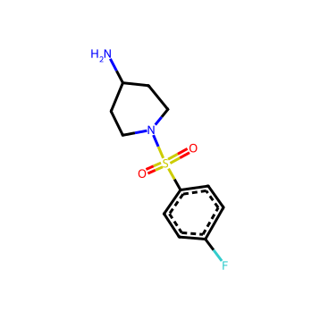 NC1CCN(S(=O)(=O)c2ccc(F)cc2)CC1